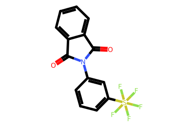 O=C1c2ccccc2C(=O)N1c1cccc(S(F)(F)(F)(F)F)c1